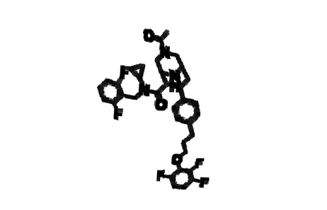 CC(=O)N1CC2CC(c3ccc(CCCOc4c(F)ccc(F)c4F)cc3)=C(C(=O)N(Cc3c(F)cccc3F)C3CC3)C(C1)N2